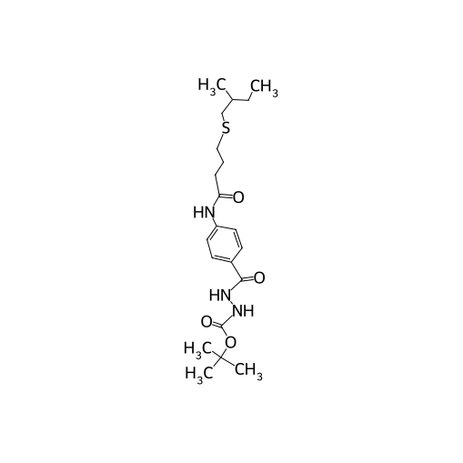 CCC(C)CSCCCC(=O)Nc1ccc(C(=O)NNC(=O)OC(C)(C)C)cc1